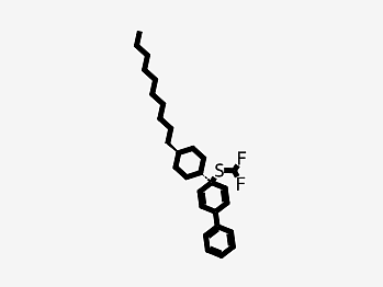 CCCCCCCCCC[C@H]1CC[C@H](C2(SC(F)F)C=CC(c3ccccc3)C=C2)CC1